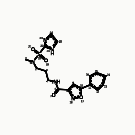 CN(CCCNC(=O)c1cc(-c2ccccc2)on1)S(=O)(=O)c1ncc[nH]1